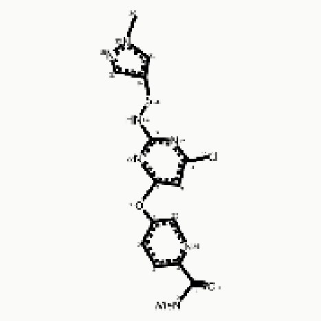 CNC(=O)c1ccc(Oc2cc(Cl)nc(NSc3cnn(C)c3)n2)cn1